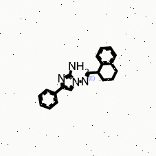 Nc1nc(-c2ccccc2)cn1/N=C/C1CCCc2ccccc21